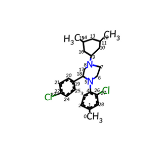 Cc1ccc(N2CCN(C3CC(C)CC(C)C3)CC2c2ccc(Cl)cc2)c(Cl)c1